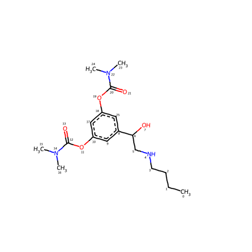 CCCCNCC(O)c1cc(OC(=O)N(C)C)cc(OC(=O)N(C)C)c1